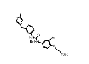 CCCCCCCCCCCCOc1ccc(NC(=O)Nc2cccc(C[n+]3csc(C)c3)c2)cc1C(C)=O.[Br-]